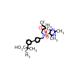 Cc1nc(C)c(S(=O)(=O)N(Cc2ccc(-c3cccc(C(C)(C)C(=O)O)c3)cc2)Cc2ccc(C(F)(F)F)o2)c(C)n1